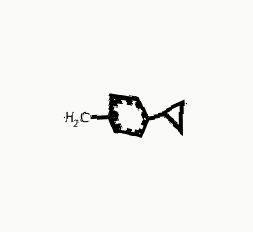 [CH2]c1ccc(C2[CH]C2)cc1